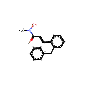 CN(O)C(=O)C=Cc1ccccc1Cc1ccccc1